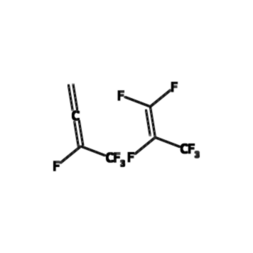 C=C=C(F)C(F)(F)F.FC(F)=C(F)C(F)(F)F